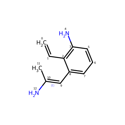 C=Cc1c(N)cccc1/C=C(\C)N